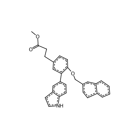 COC(=O)CCc1ccc(OCc2ccc3ccccc3c2)c(-c2ccc3[nH]ccc3c2)c1